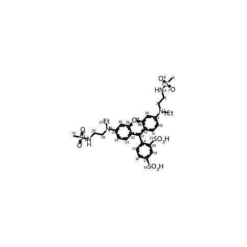 CCN(CCNS(C)(=O)=O)c1ccc2c(-c3ccc(S(=O)(=O)O)cc3S(=O)(=O)O)c3ccc(N(CC)CCNS(C)(=O)=O)cc3[o+]c2c1